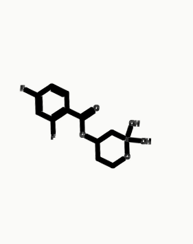 O=C(OC1CCOS(O)(O)C1)c1ccc(F)cc1F